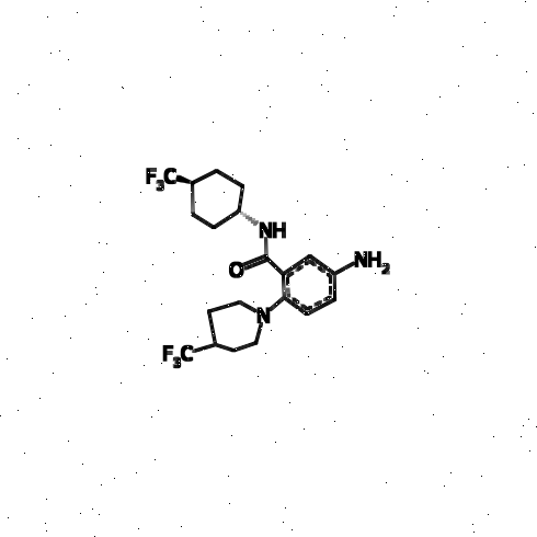 Nc1ccc(N2CCC(C(F)(F)F)CC2)c(C(=O)N[C@H]2CC[C@H](C(F)(F)F)CC2)c1